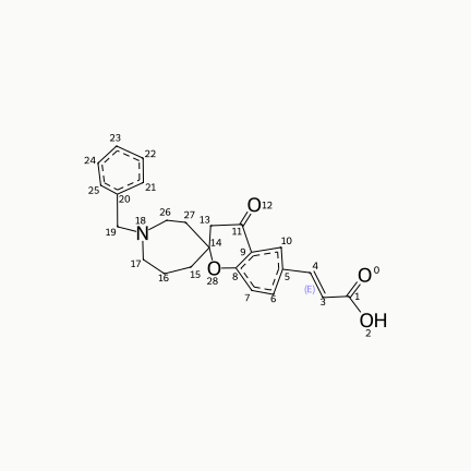 O=C(O)/C=C/c1ccc2c(c1)C(=O)CC1(CCCN(Cc3ccccc3)CC1)O2